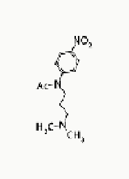 CC(=O)N(CCCN(C)C)c1ccc([N+](=O)[O-])cc1